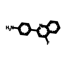 Nc1ccc(-c2cc(F)c3ccccc3n2)cc1